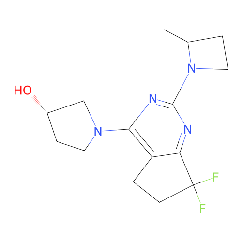 CC1CCN1c1nc(N2CC[C@H](O)C2)c2c(n1)C(F)(F)CC2